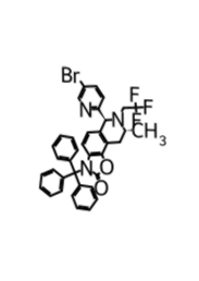 C[C@@H]1Cc2c(ccc3c2oc(=O)n3C(c2ccccc2)(c2ccccc2)c2ccccc2)[C@@H](c2ccc(Br)cn2)N1CC(F)(F)F